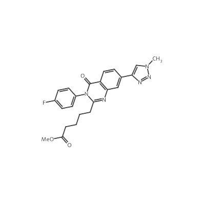 COC(=O)CCCCc1nc2cc(-c3cn(C)nn3)ccc2c(=O)n1-c1ccc(F)cc1